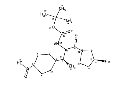 C[C@@H](C1CCC(C(=O)O)CC1)C(NC(=O)OC(C)(C)C)C(=O)N1CC[C@H](F)C1